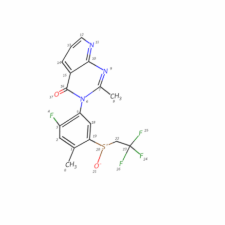 Cc1cc(F)c(-n2c(C)nc3ncccc3c2=O)cc1[S+]([O-])CC(F)(F)F